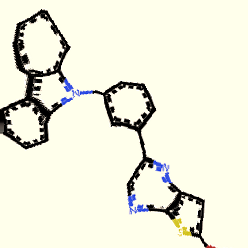 Brc1cc2nc(-c3cccc(-n4c5ccccc5c5ccccc54)c3)cnc2s1